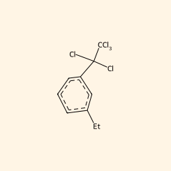 CCc1cccc(C(Cl)(Cl)C(Cl)(Cl)Cl)c1